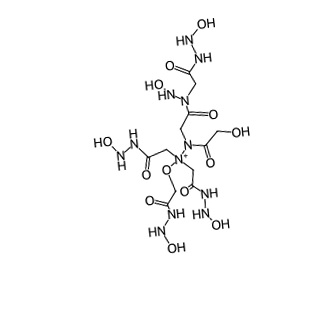 O=C(CO[N+](CC(=O)NNO)(CC(=O)NNO)N(CC(=O)N(CC(=O)NNO)NO)C(=O)CO)NNO